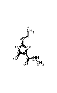 CCSc1nc(=O)n(C(=O)NC)s1